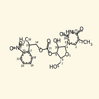 Cc1cn([C@@H]2O[C@H](CO)C(OC(=O)OCC(C)c3ccccc3[N+](=O)[O-])C2O)c(=O)[nH]c1=O